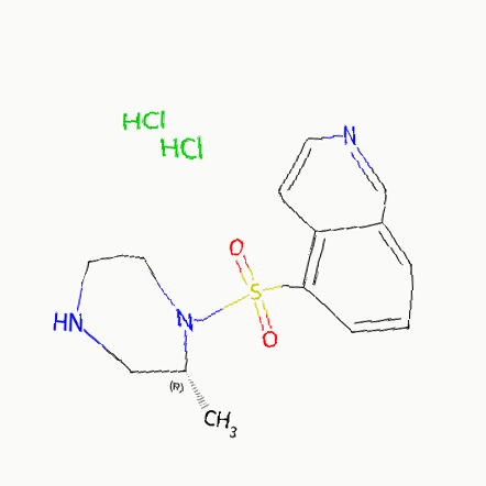 C[C@@H]1CNCCN1S(=O)(=O)c1cccc2cnccc12.Cl.Cl